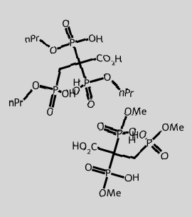 CCCOP(=O)(O)CC(C(=O)O)(P(=O)(O)OCCC)P(=O)(O)OCCC.COP(=O)(O)CC(C(=O)O)(P(=O)(O)OC)P(=O)(O)OC